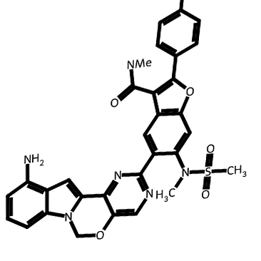 CNC(=O)c1c(-c2ccc(F)cc2)oc2cc(N(C)S(C)(=O)=O)c(-c3ncc4c(n3)-c3cc5c(N)cccc5n3CO4)cc12